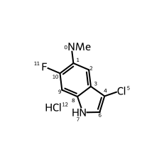 CNc1cc2c(Cl)c[nH]c2cc1F.Cl